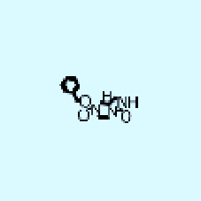 O=C(OCc1ccccc1)N1CCN2C(=O)NC[C@@H]2C1